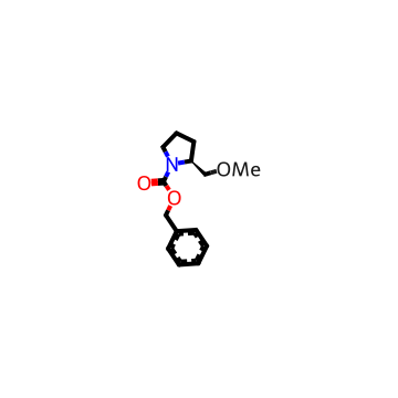 COC[C@@H]1CCCN1C(=O)OCc1ccccc1